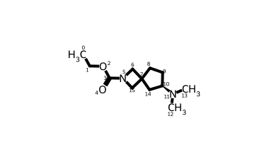 CCOC(=O)N1CC2(CC[C@@H](N(C)C)C2)C1